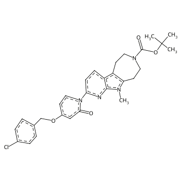 Cn1c2c(c3ccc(-n4ccc(OCc5ccc(Cl)cc5)cc4=O)nc31)CCN(C(=O)OC(C)(C)C)CC2